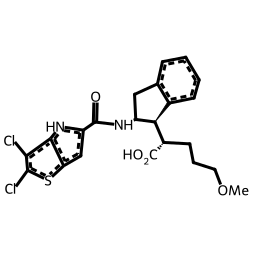 COCCC[C@H](C(=O)O)[C@@H]1c2ccccc2C[C@H]1NC(=O)c1cc2sc(Cl)c(Cl)c2[nH]1